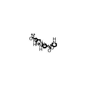 CN(C)C(=O)c1cc2cnc(Nc3ccc(N4CC5(CCCNC5)OC4=O)cn3)nc2[nH]1